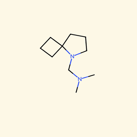 CN(C)CN1CCCC12CCC2